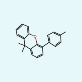 Cc1ccc(-c2cccc3c2Oc2ccccc2C3(C)C)cc1